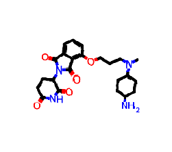 CN(CCCOc1cccc2c1C(=O)N(C1CCC(=O)NC1=O)C2=O)C1CCC(N)CC1